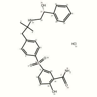 CC(C)(Cc1ccc(S(=O)(=O)c2ccc(O)c(C(N)=O)c2)cc1)NC[C@H](O)c1ccccc1.Cl